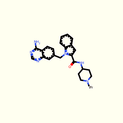 CC(C)N1CCC(NC(=O)c2cc3ccccc3n2Cc2ccc3c(N)ncnc3c2)CC1